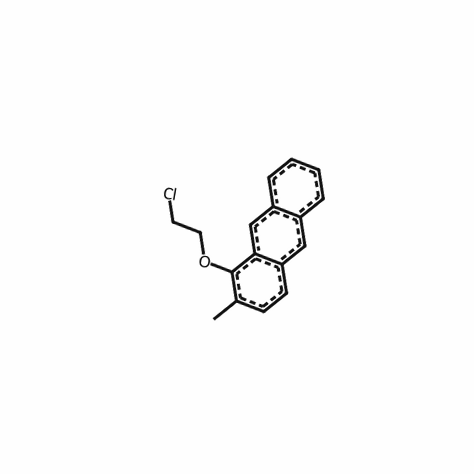 Cc1ccc2cc3ccccc3cc2c1OCCCl